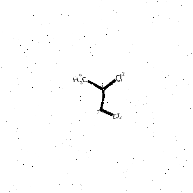 CC(Cl)[CH]Cl